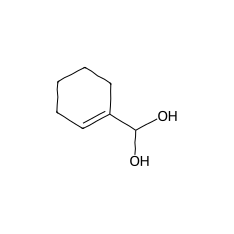 OC(O)C1=CCCCC1